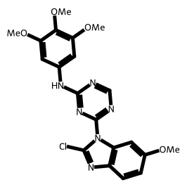 COc1ccc2nc(Cl)n(-c3ncnc(Nc4cc(OC)c(OC)c(OC)c4)n3)c2c1